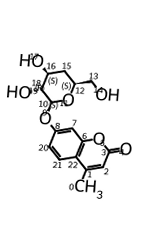 Cc1cc(=O)oc2cc(O[C@@H]3O[C@H](CO)C[C@H](O)[C@H]3O)ccc12